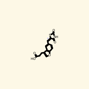 O=C(O)CCc1coc2ccc(/C=C3/SC(=O)NC3=O)cc12